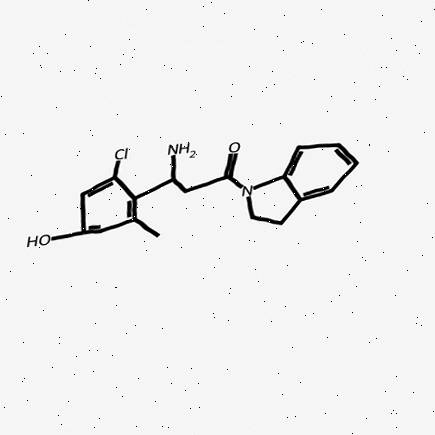 Cc1cc(O)cc(Cl)c1C(N)CC(=O)N1CCc2ccccc21